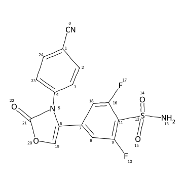 N#Cc1ccc(-n2c(-c3cc(F)c(S(N)(=O)=O)c(F)c3)coc2=O)cc1